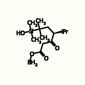 BOC(=O)CC(=O)[C@@H](CC(C)(C)[Si](C)(C)O)C(C)C